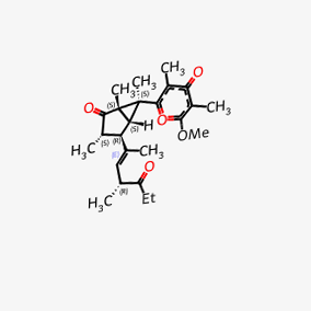 CCC(=O)[C@H](C)/C=C(\C)[C@H]1[C@H](C)C(=O)[C@@]2(C)[C@@H]1[C@]2(C)c1oc(OC)c(C)c(=O)c1C